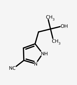 CC(C)(O)Cc1cc(C#N)n[nH]1